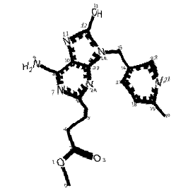 COC(=O)CCc1nc(N)c2nc(O)n(Cc3ccc(C)nc3)c2n1